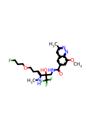 CN/C(=C\CCOCCCF)C(O)(CNC(=O)c1cc(OC)c2nnc(C)cc2c1)C(F)(F)F